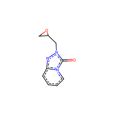 O=c1n(CC2CO2)nc2ccccn12